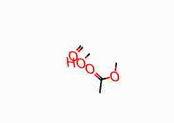 C=O.CO.COC(C)=O